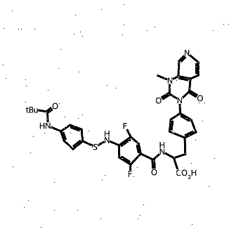 Cn1c(=O)n(-c2ccc(CC(NC(=O)c3cc(F)c(NSc4ccc(NC(=O)C(C)(C)C)cc4)cc3F)C(=O)O)cc2)c(=O)c2ccncc21